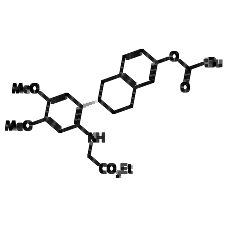 CCOC(=O)CNc1cc(OC)c(OC)cc1[C@H]1CCc2cc(OC(=O)C(C)(C)C)ccc2C1